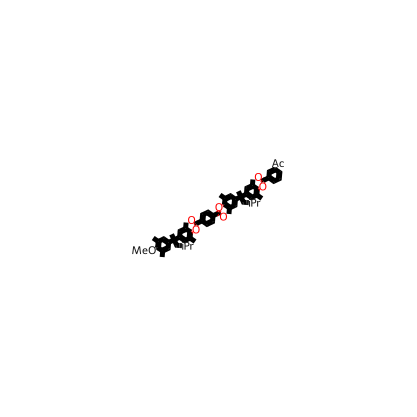 COc1c(C)cc(C(C)(CC(C)C)c2cc(C)c(OC(=O)c3ccc(C(=O)Oc4c(C)cc(C(C)(CC(C)C)c5cc(C)c(OC(=O)c6cccc(C(C)=O)c6)c(C)c5)cc4C)cc3)c(C)c2)cc1C